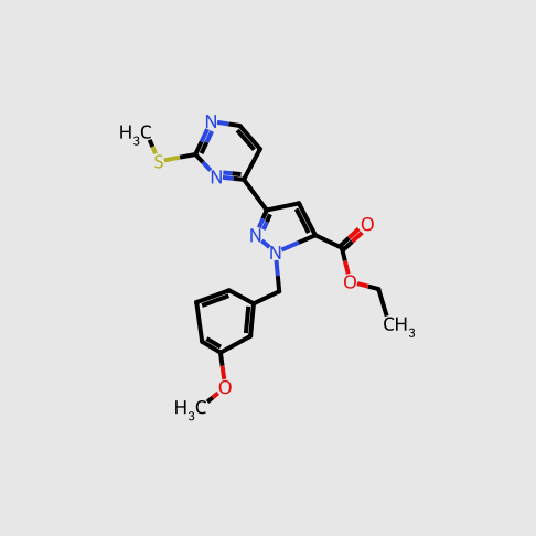 CCOC(=O)c1cc(-c2ccnc(SC)n2)nn1Cc1cccc(OC)c1